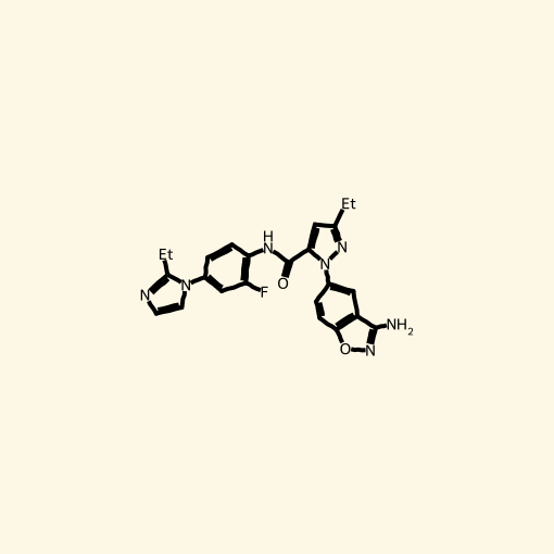 CCc1cc(C(=O)Nc2ccc(-n3ccnc3CC)cc2F)n(-c2ccc3onc(N)c3c2)n1